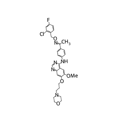 COc1cc2c(Nc3ccc(C(C)=NOCc4ccc(F)cc4Cl)cc3)ncnc2cc1OCCCN1CCOCC1